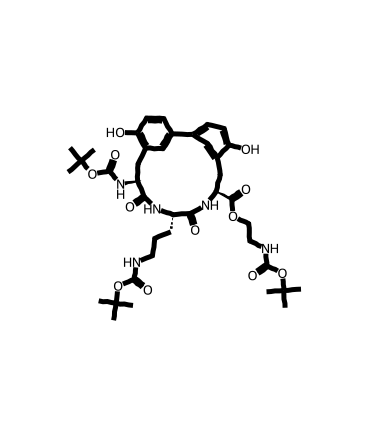 CC(C)(C)OC(=O)NCCC[C@@H]1NC(=O)[C@@H](NC(=O)OC(C)(C)C)Cc2cc(ccc2O)-c2ccc(O)c(c2)C[C@@H](C(=O)OCCNC(=O)OC(C)(C)C)NC1=O